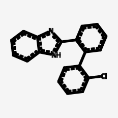 Clc1ccccc1-c1ccccc1-c1nc2ccccc2[nH]1